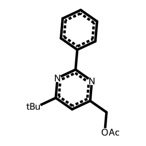 CC(=O)OCc1cc(C(C)(C)C)nc(-c2ccccc2)n1